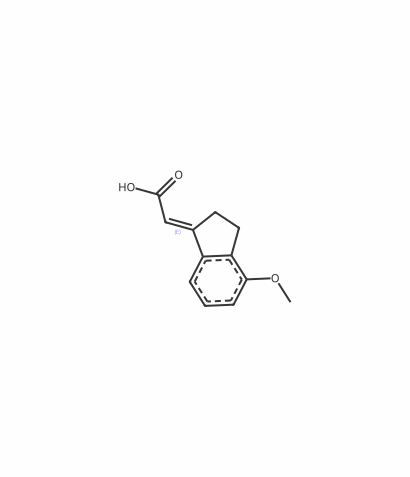 COc1cccc2c1CC/C2=C\C(=O)O